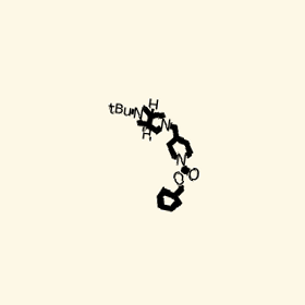 CC(C)(C)N1C[C@H]2CN(CC3CCN(C(=O)OCc4ccccc4)CC3)C[C@H]2C1